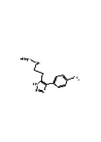 CCCCCCCNCCc1[nH]nnc1-c1ccc(C)cc1